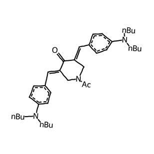 CCCCN(CCCC)c1ccc(C=C2CN(C(C)=O)CC(=Cc3ccc(N(CCCC)CCCC)cc3)C2=O)cc1